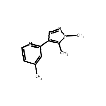 Cc1ccnc(-c2cnn(C)c2C)c1